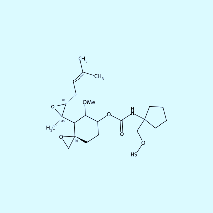 COC1C(OC(=O)NC2(COS)CCCC2)CC[C@]2(CO2)C1[C@@]1(C)O[C@@H]1CC=C(C)C